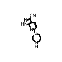 N#Cc1n[nH]c2nc(N3CCCNCC3)ccc12